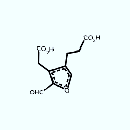 O=Cc1occ(CCC(=O)O)c1CC(=O)O